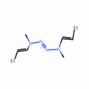 CCC=CN(C)/N=N/N(C)C=CCC